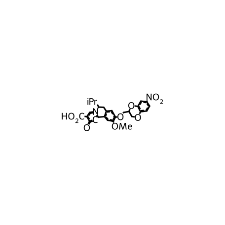 COc1cc2c(cc1OCC1COc3ccc([N+](=O)[O-])cc3O1)CC(C(C)C)n1cc(C(=O)O)c(=O)cc1-2